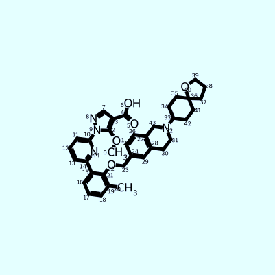 COc1c(C(=O)O)cnn1-c1cccc(-c2cccc(C)c2OCc2ccc3c(c2)CCN(C2CCC4(CCCO4)CC2)C3)n1